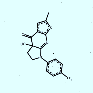 Cc1cc2c(s1)N=C1N(c3ccc(C(F)(F)F)cc3)CCC1(O)C2=O